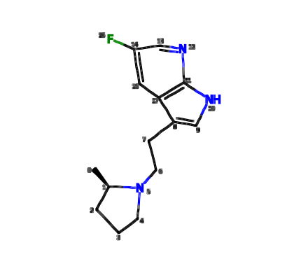 C[C@@H]1CCCN1CCc1c[nH]c2ncc(F)cc12